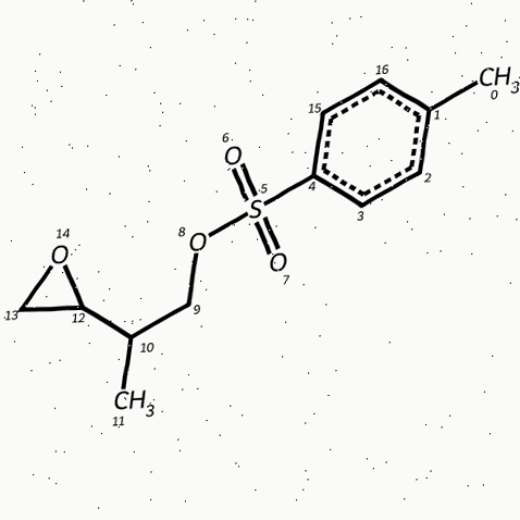 Cc1ccc(S(=O)(=O)OCC(C)C2CO2)cc1